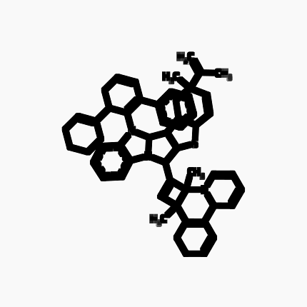 C=C(C)C1(C)C=CC2SC3C(C2C1)C1N(C2=C(c4ccccc4)C=CCC2C2=CCCCC2)c2ccccc2N1C3C1=CC2(C)C3=C(C=CCC3)C3C=CC=CN3C12C